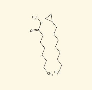 CCCCCCCC(=O)OC.CCCCCCCCC1CC1